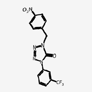 O=c1n(Cc2ccc([N+](=O)[O-])cc2)nnn1-c1cccc(C(F)(F)F)c1